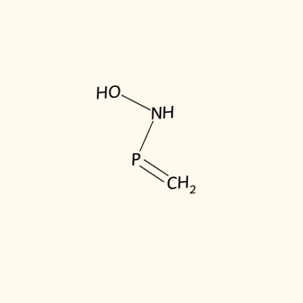 C=PNO